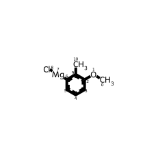 COc1ccc[c]([Mg][Cl])c1C